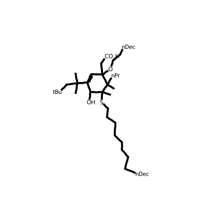 CCCCCCCCCCCCCCCCCCSC1(C)C(O)C(C(C)(C)CC(C)(C)C)=CC(CC(=O)O)(OCCCCCCCCCCCC)C1(C)CCC